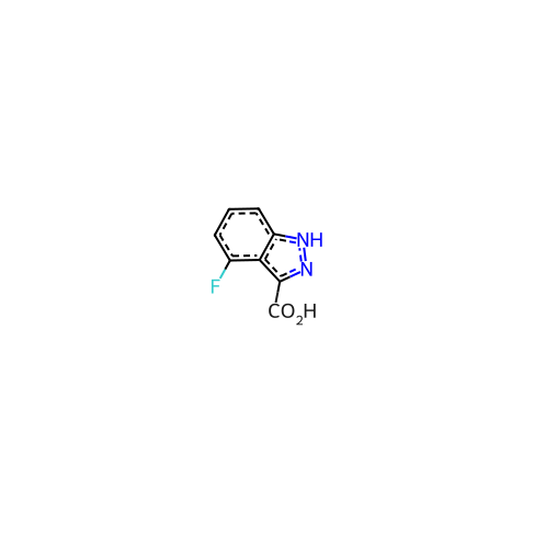 O=C(O)c1n[nH]c2cccc(F)c12